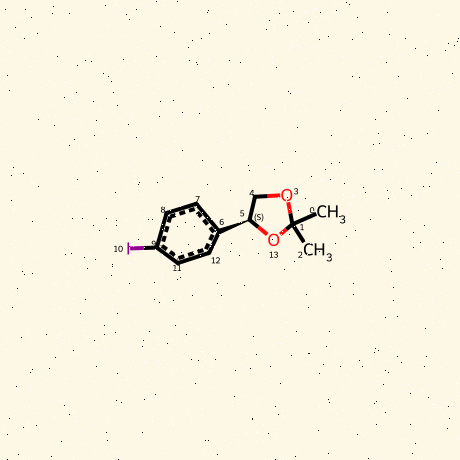 CC1(C)OC[C@H](c2ccc(I)cc2)O1